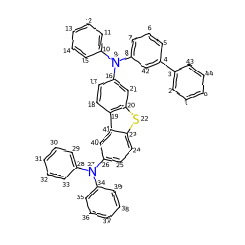 c1ccc(-c2cccc(N(c3ccccc3)c3ccc4c(c3)sc3ccc(N(c5ccccc5)c5ccccc5)cc34)c2)cc1